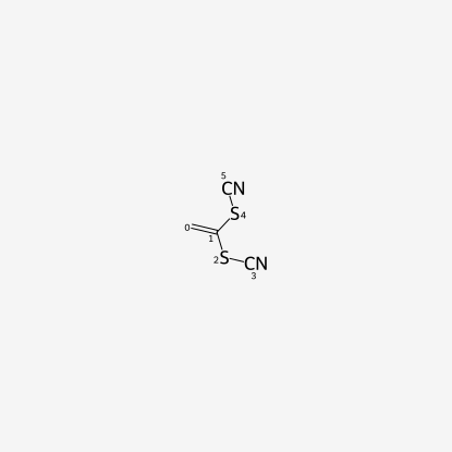 C=C(SC#N)SC#N